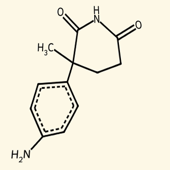 CC1(c2ccc(N)cc2)CCC(=O)NC1=O